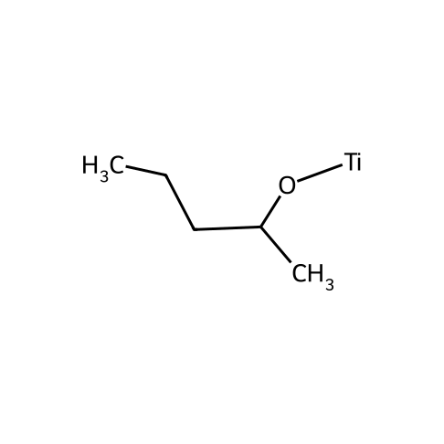 CCCC(C)[O][Ti]